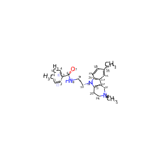 C/C=C\C(=C/C)C(=O)NCCn1c2c(c3cc(C)ccc31)CN(C)CC2